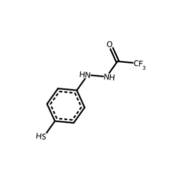 O=C(NNc1ccc(S)cc1)C(F)(F)F